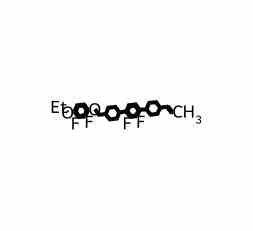 C/C=C/C1CCC(c2ccc(C3CCC(COc4ccc(OCC)c(F)c4F)CC3)c(F)c2F)CC1